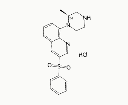 C[C@H]1CNCCN1c1cccc2cc(S(=O)(=O)c3ccccc3)cnc12.Cl